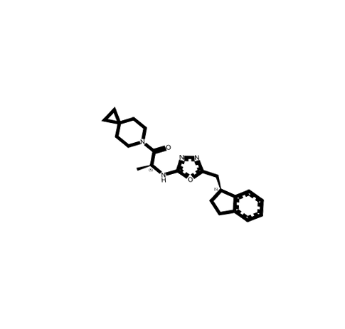 C[C@H](Nc1nnc(C[C@@H]2CCc3ccccc32)o1)C(=O)N1CCC2(CC1)CC2